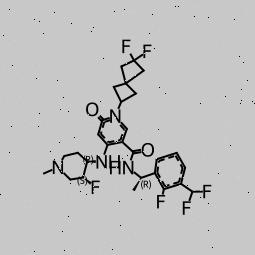 C[C@@H](NC(=O)c1cn(C2CC3(C2)CC(F)(F)C3)c(=O)cc1N[C@@H]1CCN(C)C[C@@H]1F)c1cccc(C(F)F)c1F